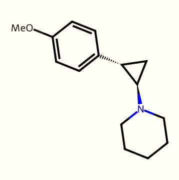 COc1ccc([C@@H]2C[C@H]2N2CCCCC2)cc1